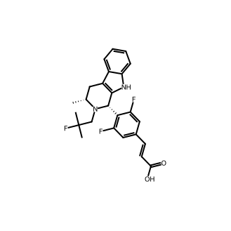 C[C@@H]1Cc2c([nH]c3ccccc23)[C@H](c2c(F)cc(/C=C/C(=O)O)cc2F)N1CC(C)(C)F